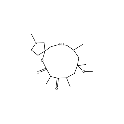 COC1(C)CC(C)CNCC2(CCN(C)C2)OC(=O)C(C)C(=O)C(C)C1